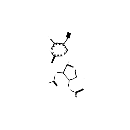 C#Cc1cn([C@@H]2O[C@H](C)C(OC(C)=O)C2OC(C)=O)c(=O)nc1N